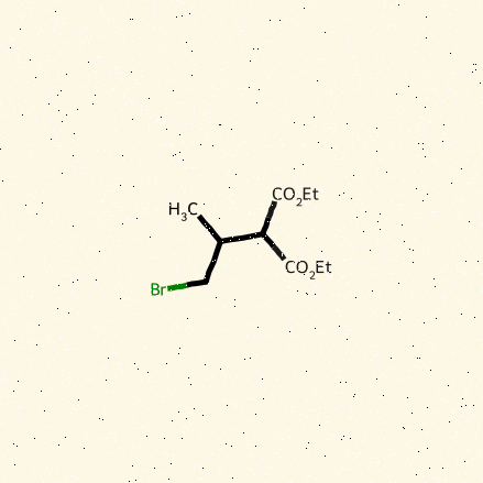 CCOC(=O)C(C(=O)OCC)C(C)CBr